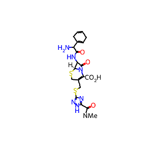 CNC(=O)c1nc(SCC2=C(C(=O)O)N3C(=O)C(NC(=O)C(N)C4=CCC=CC4)[C@@H]3SC2)n[nH]1